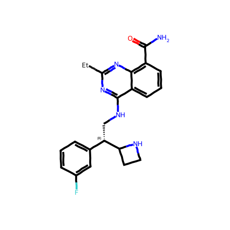 CCc1nc(NC[C@@H](c2cccc(F)c2)C2CCN2)c2cccc(C(N)=O)c2n1